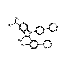 Cc1ccc(-c2ccccc2)cc1-c1n(-c2ccc(-c3ccccc3)cc2)c2ccc(C(C)C)cc2[n+]1C